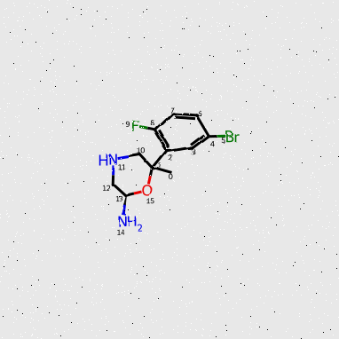 CC1(c2cc(Br)ccc2F)CNC[C@H](N)O1